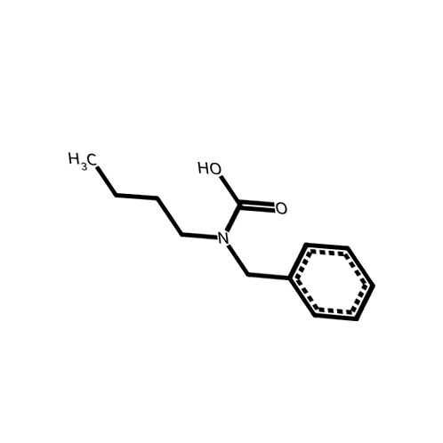 CCCCN(Cc1ccccc1)C(=O)O